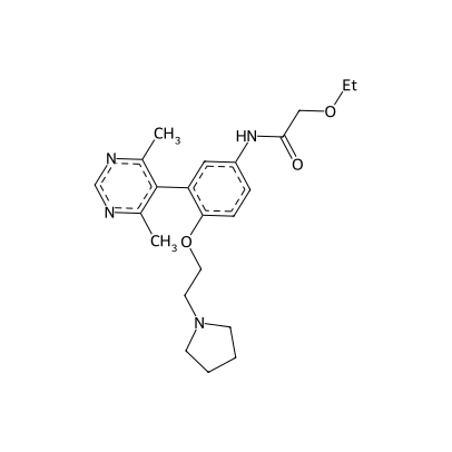 CCOCC(=O)Nc1ccc(OCCN2CCCC2)c(-c2c(C)ncnc2C)c1